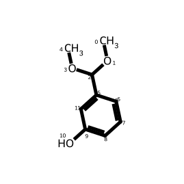 COC(OC)c1[c]ccc(O)c1